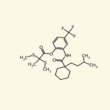 CSC(C)(SC)C(=O)Oc1ccc(C(F)(F)F)cc1NC(=O)C1(CCC(C)C)CCCCC1